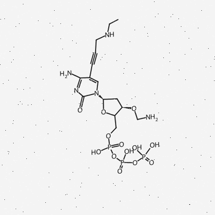 CCNCC#Cc1cn([C@H]2C[C@@H](OCN)C(COP(=O)(O)OP(=O)(O)OP(=O)(O)O)O2)c(=O)nc1N